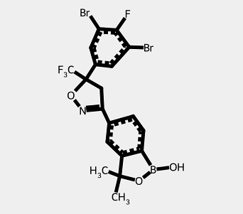 CC1(C)OB(O)c2ccc(C3=NOC(c4cc(Br)c(F)c(Br)c4)(C(F)(F)F)C3)cc21